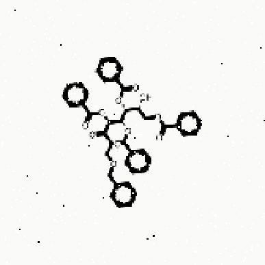 O=C(OC[C@@H](O)[C@@H](OC(=O)c1ccccc1)[C@H](OC(=O)c1ccccc1)[C@H](OC(=O)c1ccccc1)C(=O)CCOCc1ccccc1)c1ccccc1